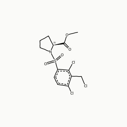 COC(=O)[C@@H]1CCCN1S(=O)(=O)c1ccc(Cl)c(CCl)c1Cl